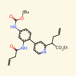 C=CCC(=O)Nc1cc(NC(=O)OC(C)(C)C)ccc1-c1ccnc(C(CC=C)C(=O)OCC)c1